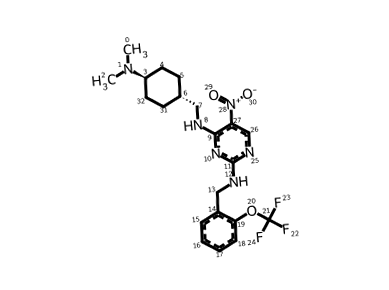 CN(C)[C@H]1CC[C@H](CNc2nc(NCc3ccccc3OC(F)(F)F)ncc2[N+](=O)[O-])CC1